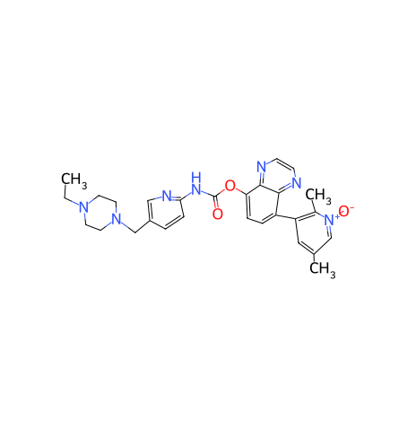 CCN1CCN(Cc2ccc(NC(=O)Oc3ccc(-c4cc(C)c[n+]([O-])c4C)c4nccnc34)nc2)CC1